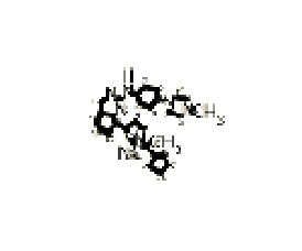 CN1CCN(c2ccc(Nc3ncc4cccc(-c5ccn(C(C)(C#N)C6CCCC6)n5)c4n3)cc2)CC1